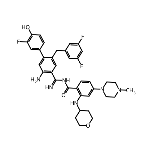 CN1CCN(c2ccc(C(=O)NC(=N)c3cc(Cc4cc(F)cc(F)c4)c(-c4ccc(O)c(F)c4)cc3N)c(NC3CCOCC3)c2)CC1